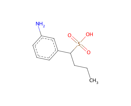 CCCC(c1cccc(N)c1)S(=O)(=O)O